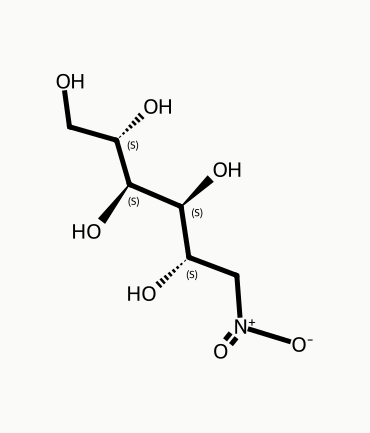 O=[N+]([O-])C[C@H](O)[C@H](O)[C@@H](O)[C@@H](O)CO